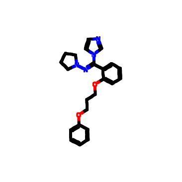 c1ccc(OCCCOc2ccccc2C(=NN2CCCC2)n2ccnc2)cc1